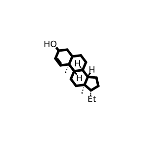 CC[C@H]1CC[C@H]2[C@@H]3CCC4CC(O)C=C[C@]4(C)[C@H]3CC[C@]12C